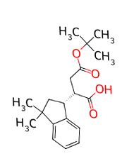 CC(C)(C)OC(=O)CC(C(=O)O)[C@H]1CC(C)(C)c2ccccc21